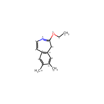 CCOC1=NC=Cc2cc(C)c(C)cc2C1